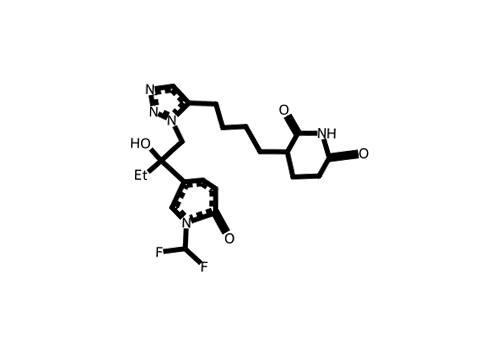 CCC(O)(Cn1nncc1CCCCC1CCC(=O)NC1=O)c1ccc(=O)n(C(F)F)c1